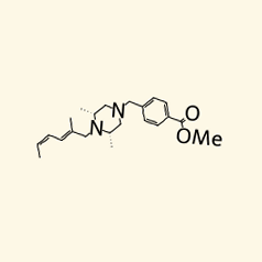 C/C=C\C=C(/C)CN1[C@H](C)CN(Cc2ccc(C(=O)OC)cc2)C[C@@H]1C